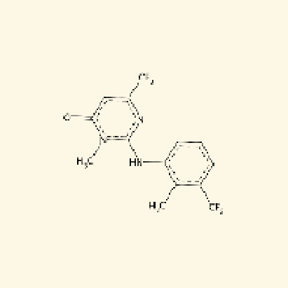 Cc1c(Nc2nc(C(F)(F)F)cc(=O)n2C)cccc1C(F)(F)F